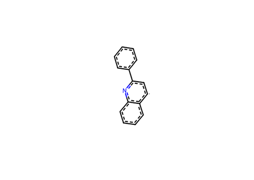 [c]1cc(-c2ccccc2)nc2ccccc12